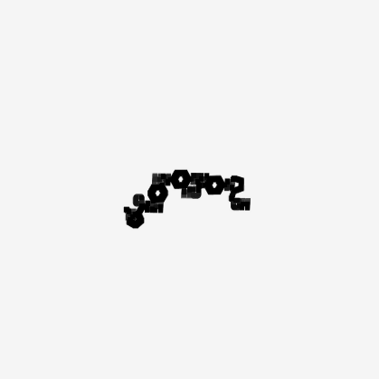 Cn1cccc1C(=O)Nc1ccc(Nc2ccc(NC(O)c3ccc(N4CCC[C@H]4CO)cc3)cc2)cc1